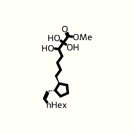 CCCCCC/C=C\[C@H]1CCC[C@@H]1CCCCC(O)C(O)(O)C(=O)OC